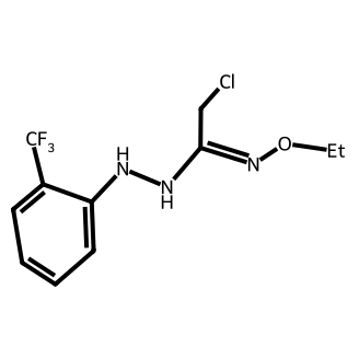 CCO/N=C(\CCl)NNc1ccccc1C(F)(F)F